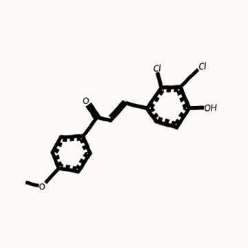 COc1ccc(C(=O)C=Cc2ccc(O)c(Cl)c2Cl)cc1